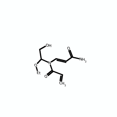 C=CC(=O)N(C=CC(N)=O)C(CO)OCC